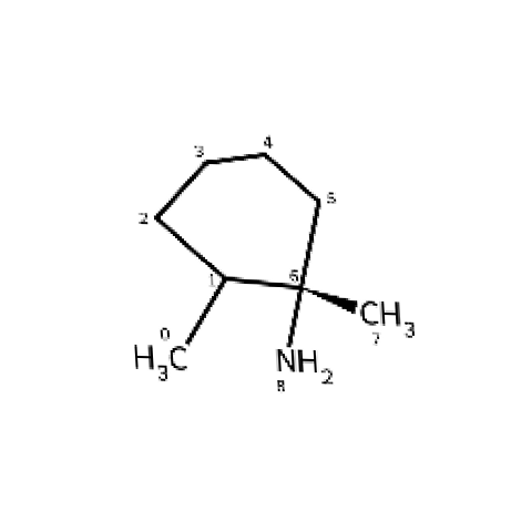 CC1CCCC[C@]1(C)N